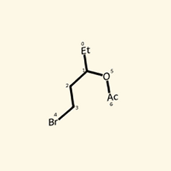 CCC(CCBr)OC(C)=O